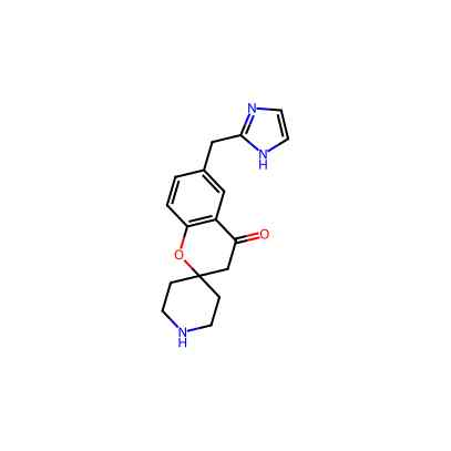 O=C1CC2(CCNCC2)Oc2ccc(Cc3ncc[nH]3)cc21